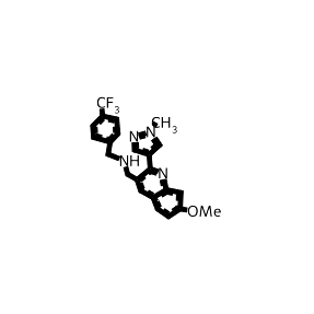 COc1ccc2cc(CNCc3ccc(C(F)(F)F)cc3)c(-c3cnn(C)c3)nc2c1